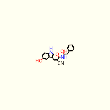 N#CC(=Cc1c[nH]c2ccc(O)cc12)C(=O)NC(O)Cc1ccccc1